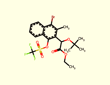 CCOC(=O)C(OC(C)(C)C)c1c(C)c(Br)c2ccccc2c1OS(=O)(=O)C(F)(F)F